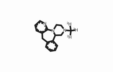 [2H]C([2H])([2H])N1CCN2c3ncccc3Cc3ccccc3C2C1